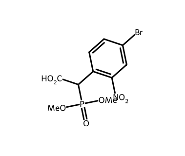 COP(=O)(OC)C(C(=O)O)c1ccc(Br)cc1[N+](=O)[O-]